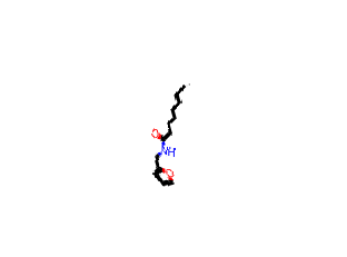 [CH2]CCCCCCC(=O)NCc1ccco1